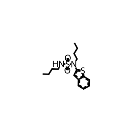 CCCCNS(=O)(=O)N(CCCC)c1cc2ccccc2s1